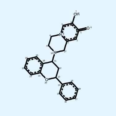 O=c1cc2n(cc1O)CCN(C1CC(c3ccccc3)Oc3ccccc31)C2